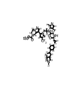 Cn1cc(C[C@@H](NC(=O)[C@H]2C[C@@H]2c2ccc(-c3cnc4nn(C)cc4c3)cc2)C(=O)NC(C)(C)Cn2nc(C(F)(F)F)cc2-c2cnn3c2CN(C(=O)OC(C)(C)C)CC3)cn1